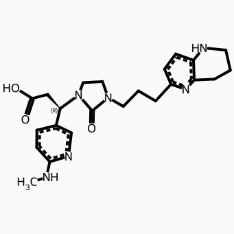 CNc1ccc([C@@H](CC(=O)O)N2CCN(CCCc3ccc4c(n3)CCCN4)C2=O)cn1